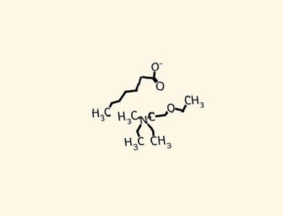 CCCCCCC(=O)[O-].CCOCC[N+](C)(CC)CC